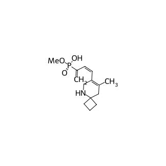 C=C(/C=C\C1=C(C)CC2(CCC2)NC1)P(=O)(O)OC